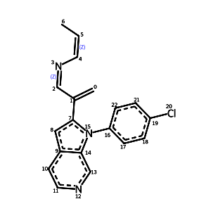 C=C(/C=N\C=C/C)c1cc2ccncc2n1-c1ccc(Cl)cc1